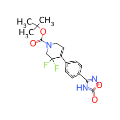 CC(C)(C)OC(=O)N1CC=C(c2ccc(-c3noc(=O)[nH]3)cc2)C(F)(F)C1